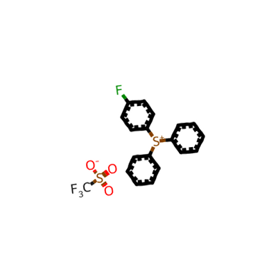 Fc1ccc([S+](c2ccccc2)c2ccccc2)cc1.O=S(=O)([O-])C(F)(F)F